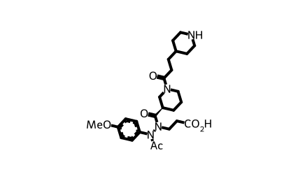 COc1ccc(N(C(C)=O)N(CCC(=O)O)C(=O)[C@@H]2CCCN(C(=O)CCC3CCNCC3)C2)cc1